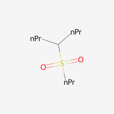 CCCC(CCC)S(=O)(=O)CCC